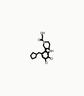 O=C(CO)N1CCc2[nH]c3c(Cl)c(Cl)cc(CC4CCCC4)c3c2C1